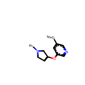 COc1cncc(OC2CCN(C(C)C)C2)c1